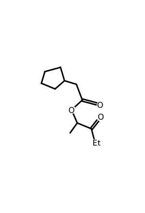 CCC(=O)C(C)OC(=O)CC1CCCC1